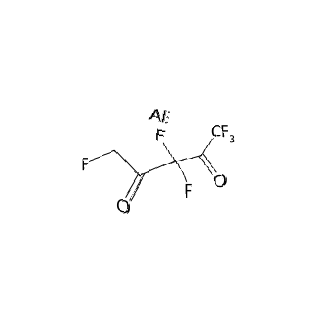 O=C(CF)C(F)(F)C(=O)C(F)(F)F.[Al]